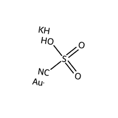 N#CS(=O)(=O)O.[Au].[KH]